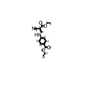 CCOC(=O)/C(C#N)=C/Nc1ccc(C(=O)OCC)cc1